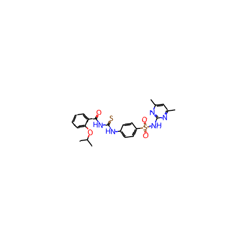 Cc1cc(C)nc(NS(=O)(=O)c2ccc(NC(=S)NC(=O)c3ccccc3OC(C)C)cc2)n1